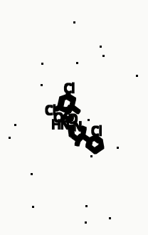 Cc1cc(NS(=O)(=O)c2c(C)cc(Cl)cc2Cl)ncc1-c1ccccc1Cl